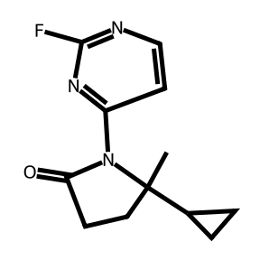 CC1(C2CC2)CCC(=O)N1c1ccnc(F)n1